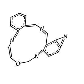 C1=COCN=c2ccc3c(c2C=NC=c2ccccc2=N1)N=3